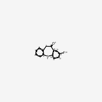 O=C1Cc2ccccc2Sc2ccc(F)cc21